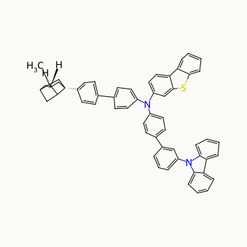 C[C@H]1CC2CC3[C@@H]2C[C@]3(c2ccc(-c3ccc(N(c4ccc(-c5cccc(-n6c7ccccc7c7ccccc76)c5)cc4)c4ccc5c(c4)sc4ccccc45)cc3)cc2)C1